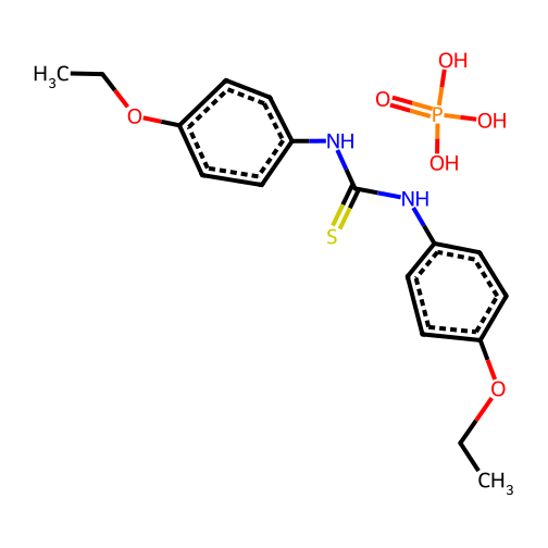 CCOc1ccc(NC(=S)Nc2ccc(OCC)cc2)cc1.O=P(O)(O)O